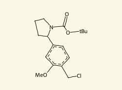 COc1cc(C2CCCN2C(=O)OC(C)(C)C)ccc1CCl